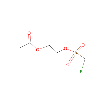 CC(=O)OCCOS(=O)(=O)CF